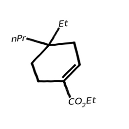 CCCC1(CC)CC=C(C(=O)OCC)CC1